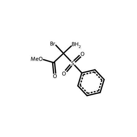 BC(Br)(C(=O)OC)S(=O)(=O)c1ccccc1